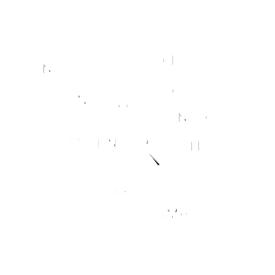 COC(=O)C[C@H](C[N+](C)(C)C)NS(=O)(=O)n1ccnc1.[Cl-]